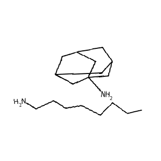 CCCCCCCCN.NC12CC3CC(CC(C3)C1)C2